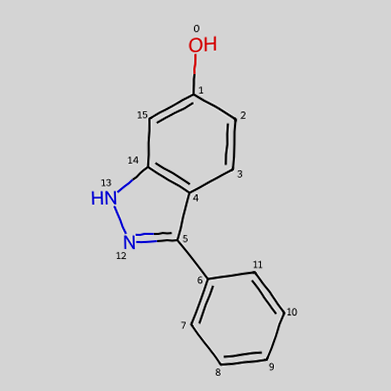 Oc1ccc2c(-c3ccccc3)n[nH]c2c1